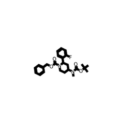 CN(C(=O)OC(C)(C)C)C1CCN(C(=O)OCc2ccccc2)C(c2ccccc2F)C1